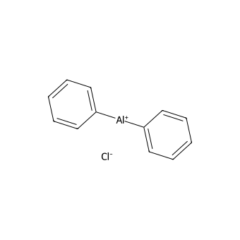 [Cl-].c1cc[c]([Al+][c]2ccccc2)cc1